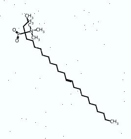 CCCCCCCCCCC=CCCCCCCCCCCC(CCC)(P(=O)=O)[N+](C)(C)C